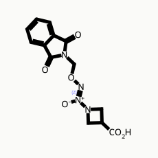 O=C(O)C1CN(/[N+]([O-])=N/OCN2C(=O)c3ccccc3C2=O)C1